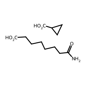 NC(=O)CCCCCCC(=O)O.O=C(O)C1CC1